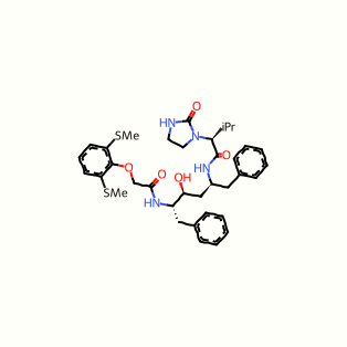 CSc1cccc(SC)c1OCC(=O)N[C@@H](Cc1ccccc1)[C@@H](O)C[C@H](Cc1ccccc1)NC(=O)[C@H](C(C)C)N1CCNC1=O